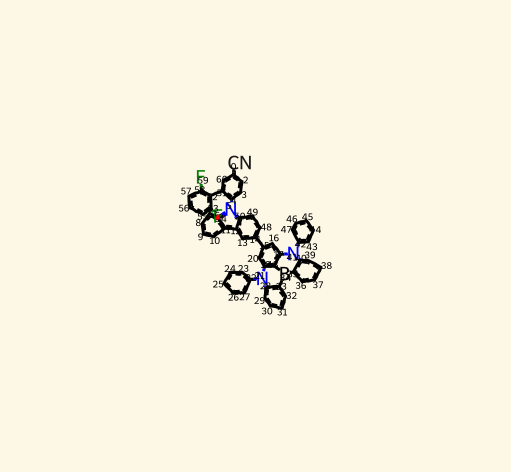 N#Cc1ccc(-n2c3ccccc3c3cc(-c4cc5c6c(c4)N(c4ccccc4)c4ccccc4B6c4ccccc4N5c4ccccc4)ccc32)c(-c2c(F)cccc2F)c1